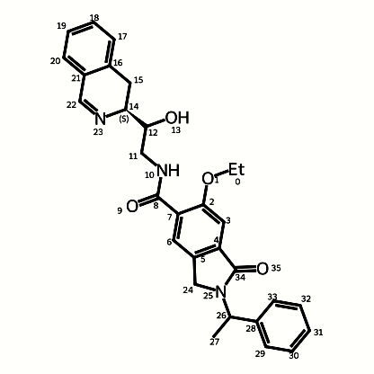 CCOc1cc2c(cc1C(=O)NCC(O)[C@@H]1Cc3ccccc3C=N1)CN(C(C)c1ccccc1)C2=O